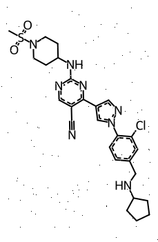 CS(=O)(=O)N1CCC(Nc2ncc(C#N)c(-c3cnn(-c4ccc(CNC5CCCC5)cc4Cl)c3)n2)CC1